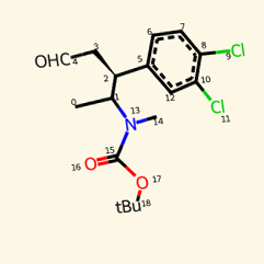 CC([C@@H](CC=O)c1ccc(Cl)c(Cl)c1)N(C)C(=O)OC(C)(C)C